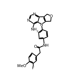 COc1ccc(CC(=O)Nc2ccc(-n3c4c(c5ncnc(N)c53)COC4)cc2)cc1F